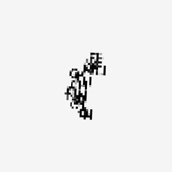 Cc1c(Cl)c(C(F)(F)F)nn1CCC(=O)NCc1ccnc(-n2[nH]cc(-c3cccnc3)c2=O)c1